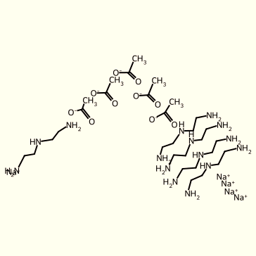 CC(=O)[O-].CC(=O)[O-].CC(=O)[O-].CC(=O)[O-].CC(=O)[O-].NCCNCCN.NCCNCCN.NCCNCCN.NCCNCCN.NCCNCCN.[Na+].[Na+].[Na+].[Na+].[Na+]